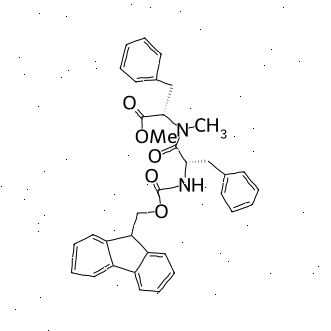 COC(=O)[C@H](Cc1ccccc1)N(C)C(=O)[C@H](Cc1ccccc1)NC(=O)OCC1c2ccccc2-c2ccccc21